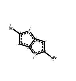 CCCc1cc2sc(Br)cc2s1